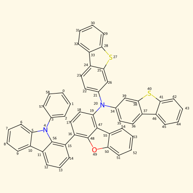 c1ccc(-n2c3ccccc3c3cccc(-c4ccc(N(c5ccc6c(c5)sc5ccccc56)c5ccc6c(c5)sc5ccccc56)c5c4oc4ccccc45)c32)cc1